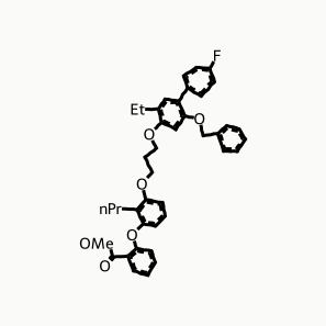 CCCc1c(OCCCOc2cc(OCc3ccccc3)c(-c3ccc(F)cc3)cc2CC)cccc1Oc1ccccc1C(=O)OC